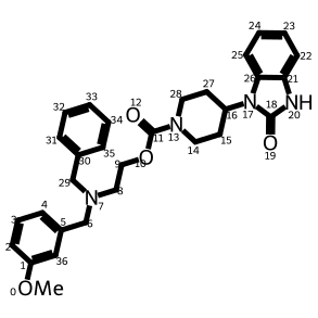 COc1cccc(CN(CCOC(=O)N2CCC(n3c(=O)[nH]c4ccccc43)CC2)Cc2ccccc2)c1